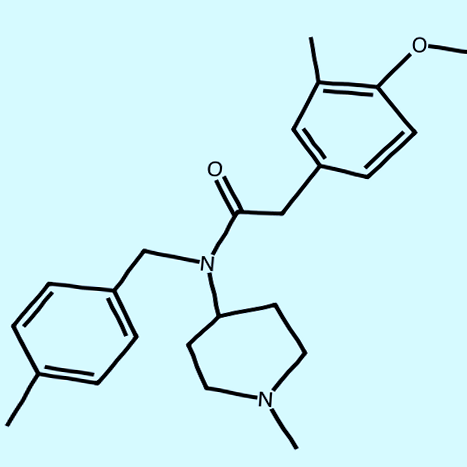 COc1ccc(CC(=O)N(Cc2ccc(C)cc2)C2CCN(C)CC2)cc1C